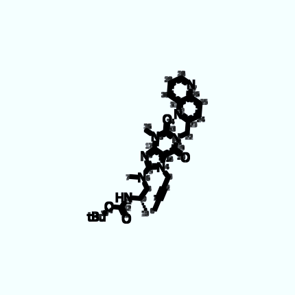 CC#CCn1c(N(C)C[C@H](C)NC(=O)OC(C)(C)C)nc2c1c(=O)n(Cc1ccc3ncccc3n1)c(=O)n2C